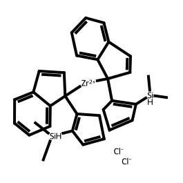 C[SiH](C)C1=C([C]2([Zr+2][C]3(C4=C([SiH](C)C)C=CC4)C=Cc4ccccc43)C=Cc3ccccc32)CC=C1.[Cl-].[Cl-]